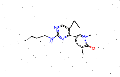 CCCCNc1ncc(CC)c(-c2cc(C)c(=O)n(C)c2)n1